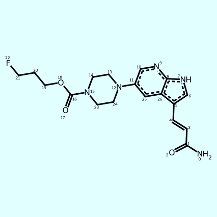 NC(=O)/C=C/c1c[nH]c2ncc(N3CCN(C(=O)OCCCF)CC3)cc12